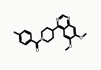 COc1cc2ncnc(C3CCN(C(=O)c4ccc(C)cc4)CC3)c2cc1OC